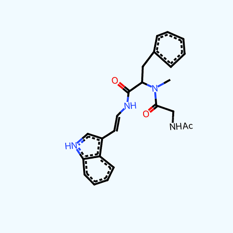 CC(=O)NCC(=O)N(C)C(Cc1ccccc1)C(=O)NC=Cc1c[nH]c2ccccc12